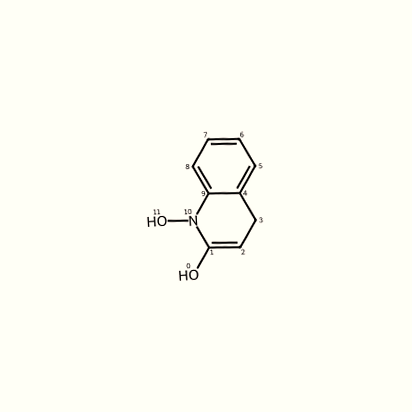 OC1=CCc2ccccc2N1O